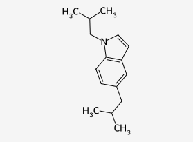 CC(C)Cc1ccc2c(ccn2CC(C)C)c1